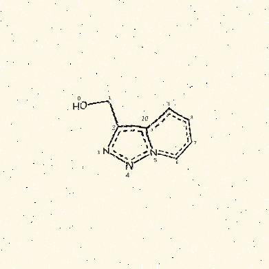 OCc1nnn2ccccc12